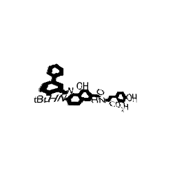 CC(C)(C)c1ccc(-c2ccccc2)cc1-c1nc2c(ccc3cc(C(=O)NC(Cc4ccc(O)cc4)C(=O)O)cc(O)c32)[nH]1